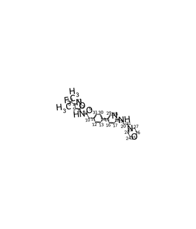 CC(C)(F)c1cc(NC(=O)Cc2ccc(-c3ccc(NCCN4CCOCC4)nc3)cc2)on1